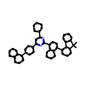 CC1(C)c2ccccc2-c2c(-c3ccc(-c4nc(-c5ccccc5)cc(-c5ccc(-c6cccc7ccccc67)cc5)n4)c4ccccc34)cccc21